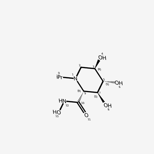 CC(C)N1C[C@@H](O)[C@H](O)[C@@H](O)[C@@H]1C(=O)NO